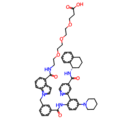 O=C(O)CCOCCOCCOCCNC(=O)c1cccc2c1ccn2Cc1cccc(C(=O)Nc2ccc(N3CCCCC3)cc2-c2cc(C(=O)N[C@H]3CCCc4ccccc43)ccn2)c1